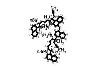 CC#CCC1(C)C(/C=C/C=C2/N(CCCC)c3ccc4ccccc4c3C2(C)C)=[N+](C)c2cc(Cc3cc4c(c5ccccc35)C(C)(CC#CC)C(/C=C/C=C3/N(CCCC)c5ccc6ccccc6c5C3(C)C)=[N+]4C)c3ccccc3c21